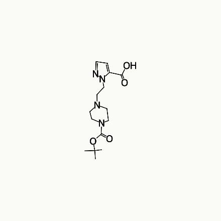 CC(C)(C)OC(=O)N1CCN(CCn2nccc2C(=O)O)CC1